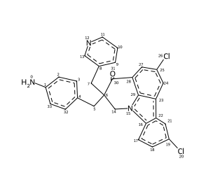 Nc1ccc(CC2(Cc3cccnc3)Cn3c4ccc(Cl)cc4c4cc(Cl)cc(c43)C2=O)cc1